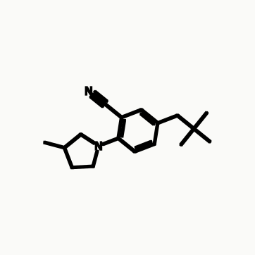 CC1CCN(c2ccc(CC(C)(C)C)cc2C#N)C1